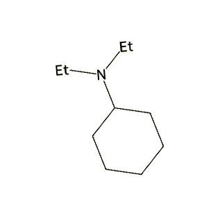 [CH2]CN(C[CH2])C1CCCCC1